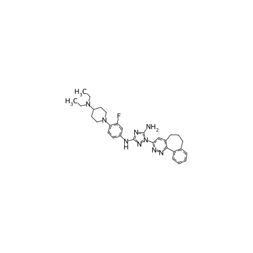 CCN(CC)C1CCN(c2ccc(Nc3nc(N)n(-c4cc5c(nn4)-c4ccccc4CCC5)n3)cc2F)CC1